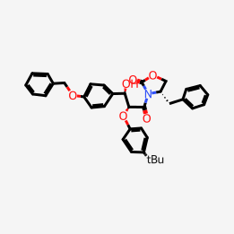 CC(C)(C)c1ccc(O[C@H](C(=O)N2C(=O)OC[C@@H]2Cc2ccccc2)[C@H](O)c2ccc(OCc3ccccc3)cc2)cc1